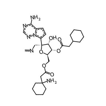 C=NC[C@@]1(c2ccc3c(N)ncnn23)O[C@H](COC(=O)CC2(N)CCCCC2)[C@@H](OC(=O)CC2CCCCC2)[C@H]1O